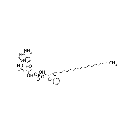 CCCCCCCCCCCCCCCCCCOC[C@@H](COP(=O)(O)OC[C@H]1O[C@@](C)(c2ccc3c(N)ncnn23)[C@H](O)[C@@H]1O)Oc1ccccc1